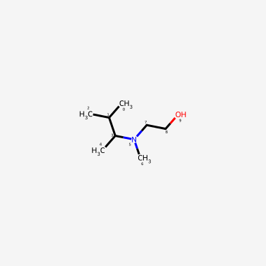 CC(C)C(C)N(C)CCO